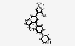 CCc1nn(C)cc1-c1cc(-c2ccc(N3CCNCC3)nc2)c2c(C#N)cnn2c1